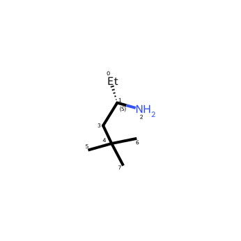 CC[C@H](N)CC(C)(C)C